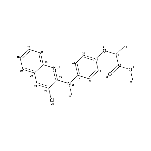 COC(=O)C(C)Oc1ccc(N(C)c2nc3ccccc3cc2Cl)cc1